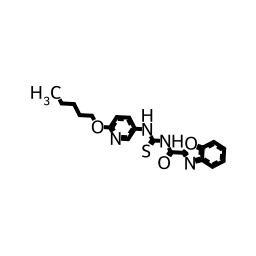 CCCCCOc1ccc(NC(=S)NC(=O)c2nc3ccccc3o2)cn1